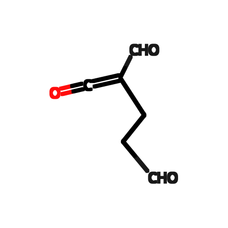 O=C=C(C=O)CCC=O